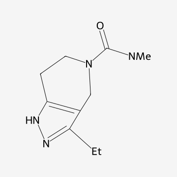 CCc1n[nH]c2c1CN(C(=O)NC)CC2